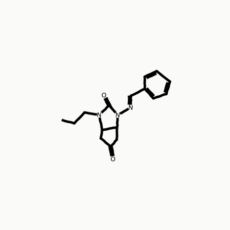 CCCN1C(=O)N(/N=C/c2ccccc2)C2CC(=O)CC21